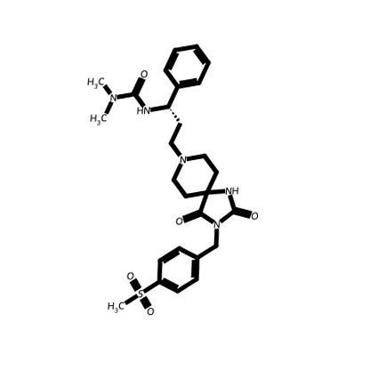 CN(C)C(=O)N[C@@H](CCN1CCC2(CC1)NC(=O)N(Cc1ccc(S(C)(=O)=O)cc1)C2=O)c1ccccc1